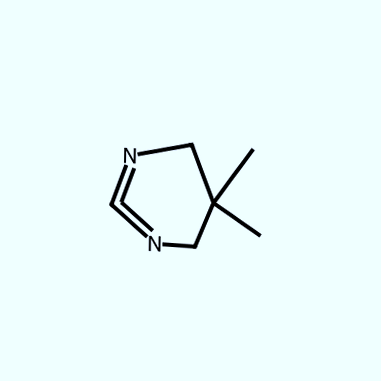 CC1(C)CN=C=NC1